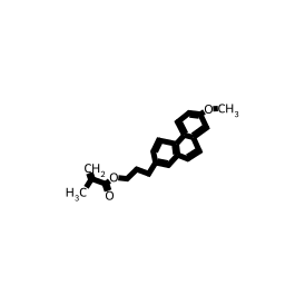 C=C(C)C(=O)OCCCc1ccc2c(ccc3cc(OC)ccc32)c1